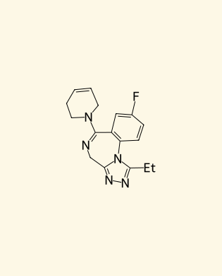 CCc1nnc2n1-c1ccc(F)cc1C(N1CC=CCC1)=NC2